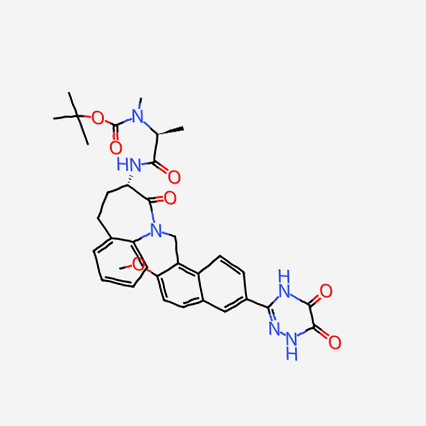 COc1ccc2cc(-c3n[nH]c(=O)c(=O)[nH]3)ccc2c1CN1C(=O)[C@@H](NC(=O)[C@H](C)N(C)C(=O)OC(C)(C)C)CCc2ccccc21